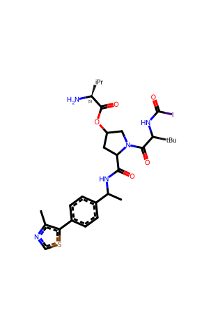 Cc1ncsc1-c1ccc(C(C)NC(=O)C2CC(OC(=O)[C@@H](N)C(C)C)CN2C(=O)C(NC(=O)I)C(C)(C)C)cc1